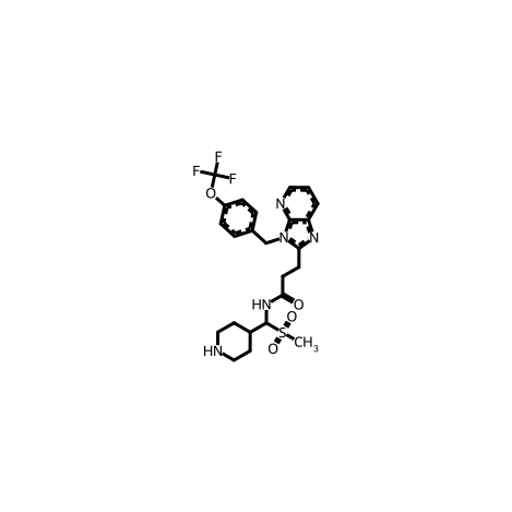 CS(=O)(=O)C(NC(=O)CCc1nc2cccnc2n1Cc1ccc(OC(F)(F)F)cc1)C1CCNCC1